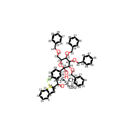 CC(C)(C)[Si](C)(C)OC(c1cc2ccccc2s1)c1cc(C2(O)OC(COCc3ccccc3)C(OCc3ccccc3)C(OCc3ccccc3)C2OCc2ccccc2)ccc1F